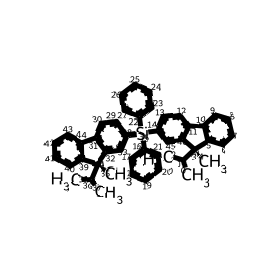 CC(C)[C@]1(C)c2ccccc2-c2ccc([Si](c3ccccc3)(c3ccccc3)c3ccc4c(c3)[C@](C)(C(C)C)c3ccccc3-4)cc21